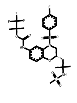 CC(C)(C[C@H]1CN(S(=O)(=O)c2ccc(F)cc2)c2cc(NC(=O)OC(C)(C)C(F)(F)F)ccc2O1)NS(C)(=O)=O